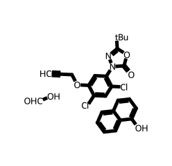 C#CCOc1cc(-n2nc(C(C)(C)C)oc2=O)c(Cl)cc1Cl.O=CO.Oc1cccc2ccccc12